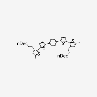 CCCCCCCCCCCCc1cc(C)sc1-c1ccc(-c2ccc(-c3ccc(-c4sc(C)cc4CCCCCCCCCCCC)s3)cc2)s1